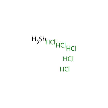 Cl.Cl.Cl.Cl.Cl.[SbH3]